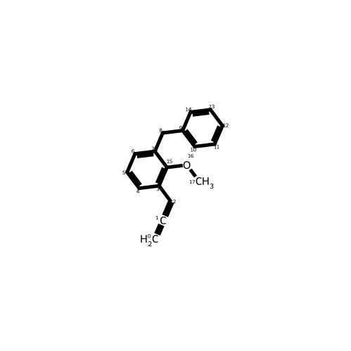 C=C=Cc1cccc(Cc2ccccc2)c1OC